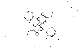 CCC(=O)O[Si](OC(=O)CC)(Oc1ccccc1)Oc1ccccc1